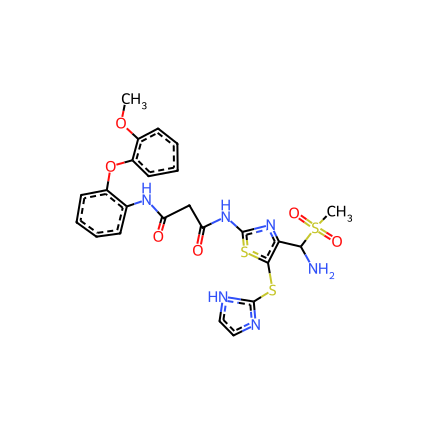 COc1ccccc1Oc1ccccc1NC(=O)CC(=O)Nc1nc(C(N)S(C)(=O)=O)c(Sc2ncc[nH]2)s1